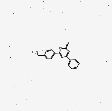 NCc1ccc(-c2cc(-c3ccccc3)cc(=O)[nH]2)cc1